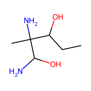 CCC(O)C(C)(N)C(N)O